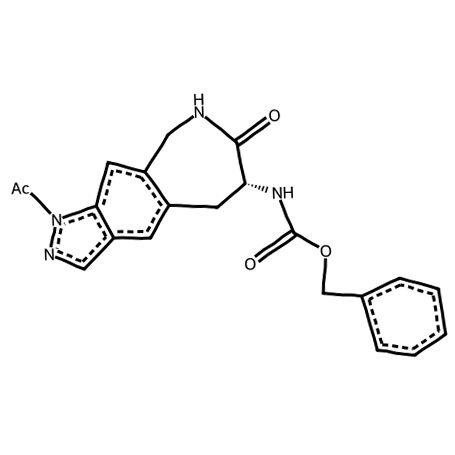 CC(=O)n1ncc2cc3c(cc21)CNC(=O)[C@H](NC(=O)OCc1ccccc1)C3